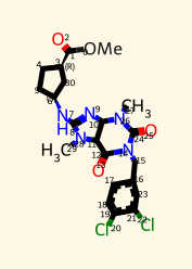 COC(=O)[C@@H]1CC[C@H](NC2=NC3C(C(=O)N(Cc4ccc(Cl)c(Cl)c4)C(=O)N3C)N2C)C1